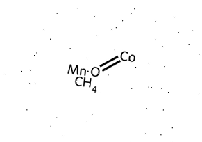 C.[Mn].[O]=[Co]